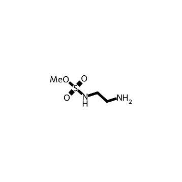 COS(=O)(=O)NCCN